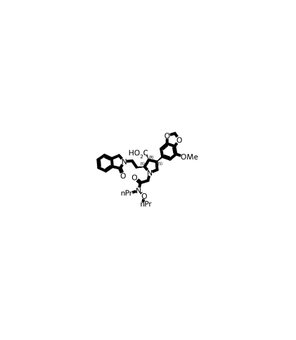 CCCON(CCC)C(=O)CN1C[C@H](c2cc(OC)c3c(c2)OCO3)[C@@H](C(=O)O)[C@@H]1CCN1Cc2ccccc2C1=O